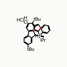 Cl.Cl.[CH2]=[Hf]([C]1=CC=CC1)([c]1ccccc1)([CH](C)C)[CH]1c2cc(C(C)(C)C)ccc2-c2ccc(C(C)(C)C)cc21